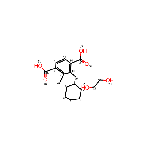 C1CCCCC1.Cc1c(C(=O)O)ccc(C(=O)O)c1C.OCCO